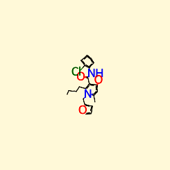 CCCCc1c(C(=O)Nc2ccccc2Cl)c(=O)cc(C)n1Cc1ccco1